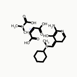 CN(C)C(=O)O.CN(C=C1CC=NC(N)=C1O)C1CCCCC1.O=C(O)/C=C\C(=O)O